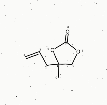 [CH2]C1(CC=C)COC(=O)O1